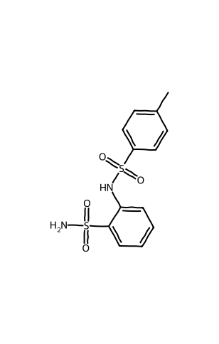 Cc1ccc(S(=O)(=O)Nc2ccccc2S(N)(=O)=O)cc1